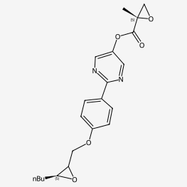 CCCC[C@@H]1OC1COc1ccc(-c2ncc(OC(=O)[C@]3(C)CO3)cn2)cc1